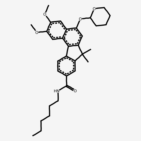 CCCCCCNC(=O)c1ccc2c(c1)C(C)(C)c1cc(OC3CCCCO3)c3cc(OC)c(OC)cc3c1-2